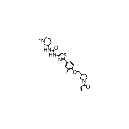 C=CC(=O)N1CCC(COc2ccc(-c3nc(NC(=O)NC4CCCN(C)C4)cs3)cc2C)C1